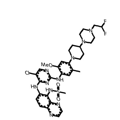 COc1cc(N2CCC(N3CCN(CC(F)F)CC3)CC2)c(C)cc1Nc1ncc(Cl)c(Nc2ccc3nccnc3c2NS(C)(=O)=O)n1